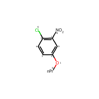 CCCOc1ccc(Cl)c([N+](=O)[O-])c1